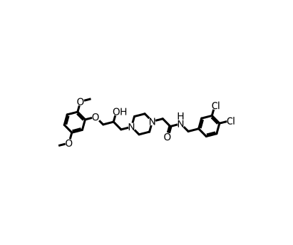 COc1ccc(OC)c(OCC(O)CN2CCN(CC(=O)NCc3ccc(Cl)c(Cl)c3)CC2)c1